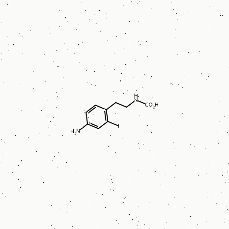 Nc1ccc(CCNC(=O)O)c(I)c1